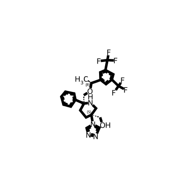 C[C@@H](OC[C@@]1(c2ccccc2)CC[C@](CO)(n2cnnc2)CN1)c1cc(C(F)(F)F)cc(C(F)(F)F)c1